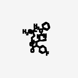 CN(C)CCn1oc(=O)c(-c2ccc(F)cc2)c1-c1ccnc(Oc2ccccc2)n1